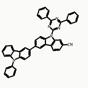 N#Cc1ccc2c3cc(-c4ccc5c(c4)c4ccccc4n5-c4ccccc4)ccc3n(-c3nc(-c4ccccc4)nc(-c4ccccc4)n3)c2c1